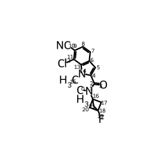 CN(C(=O)c1cc2ccc(C#N)c(Cl)c2n1C)C12CC(F)(C1)C2